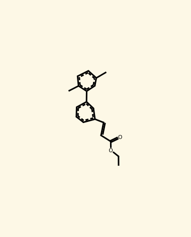 CCOC(=O)C=Cc1cccc(-c2cc(C)ccc2C)c1